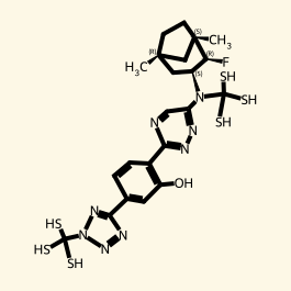 C[C@@]12CC[C@@](C)(C1)[C@@H](F)[C@@H](N(c1cnc(-c3ccc(-c4nnn(C(S)(S)S)n4)cc3O)nn1)C(S)(S)S)C2